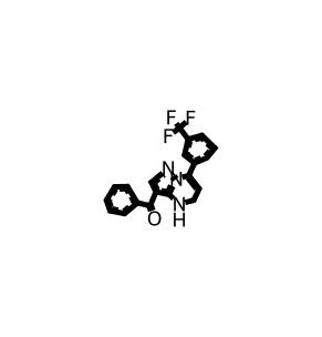 O=C(c1ccccc1)c1cnn2c1NCC=C2c1cccc(C(F)(F)F)c1